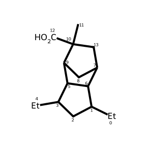 CCC1CC(CC)C2C1C1CC2C(C)(C(=O)O)C1